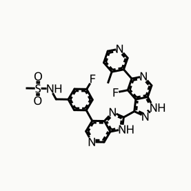 Cc1ccncc1-c1ncc2[nH]nc(-c3nc4c(-c5cc(F)cc(CNS(C)(=O)=O)c5)cncc4[nH]3)c2c1F